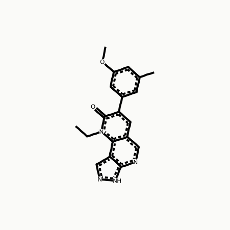 CCn1c(=O)c(-c2cc(C)cc(OC)c2)cc2cnc3[nH]ncc3c21